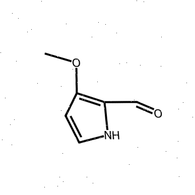 COc1cc[nH]c1C=O